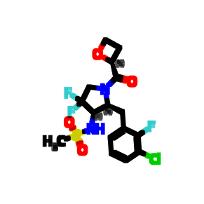 CS(=O)(=O)N[C@@H]1[C@H](Cc2cccc(Cl)c2F)N(C(=O)[C@@H]2CCO2)CC1(F)F